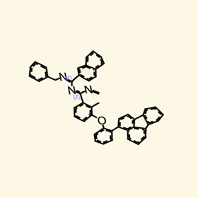 C=N/C(=N\C(=N/Cc1ccccc1)c1ccc2ccccc2c1)c1cccc(Oc2ccccc2-c2ccc3c4c(cccc24)-c2ccccc2-3)c1C